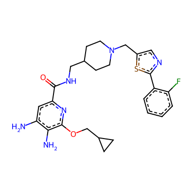 Nc1cc(C(=O)NCC2CCN(Cc3cnc(-c4ccccc4F)s3)CC2)nc(OCC2CC2)c1N